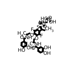 CCc1c(S(=O)(=O)NCP(=O)(O)O)sc2c(F)c(OCC(C)NC(=O)c3ccc(O)c(O)c3)c(OCC(C)NC(=O)c3ccc(O)c(O)c3)c(F)c12